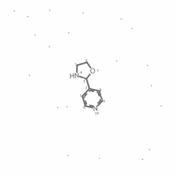 c1cc(C2NCCO2)ccn1